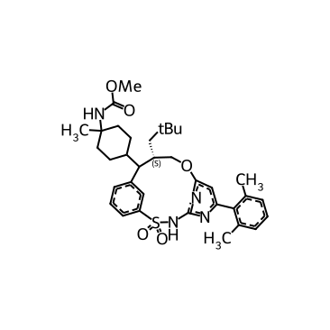 COC(=O)NC1(C)CCC(C2c3cccc(c3)S(=O)(=O)Nc3nc(cc(-c4c(C)cccc4C)n3)OC[C@H]2CC(C)(C)C)CC1